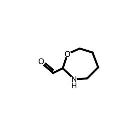 O=CC1NCCCCO1